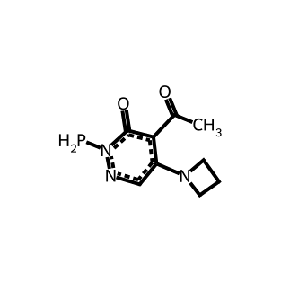 CC(=O)c1c(N2CCC2)cnn(P)c1=O